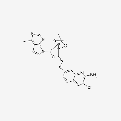 Cc1ncnc2c1ccn2[C@@H]1O[C@H](COc2ccc3cc(Br)c(N)nc3c2)[C@]23C[C@]12OC(C)(C)O3